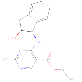 CCOC(=O)c1cnc(Cl)nc1N[C@@H]1c2ccccc2C[C@@H]1O